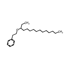 CCCCCCCCCCCCC(CC)OCCc1ccccc1